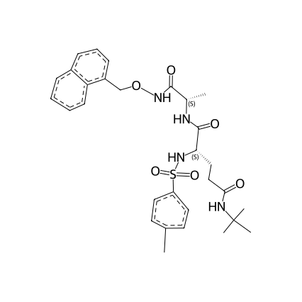 Cc1ccc(S(=O)(=O)N[C@@H](CCC(=O)NC(C)(C)C)C(=O)N[C@@H](C)C(=O)NOCc2cccc3ccccc23)cc1